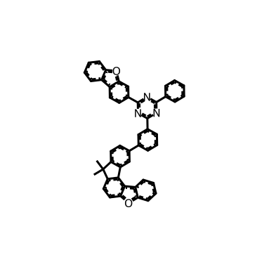 CC1(C)c2ccc(-c3cccc(-c4nc(-c5ccccc5)nc(-c5ccc6c(c5)oc5ccccc56)n4)c3)cc2-c2c1ccc1oc3ccccc3c21